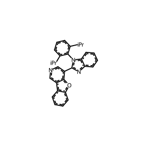 CC(C)c1cccc(C(C)C)c1-n1c(-c2cncc3c2oc2ccccc23)nc2ccccc21